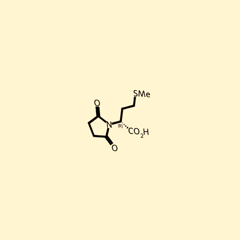 CSCC[C@H](C(=O)O)N1C(=O)CCC1=O